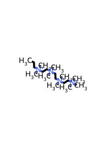 CCC[N+](C)(C)CC[N+](C)(C)CC[N+](C)(C)CC[N+](C)(C)C